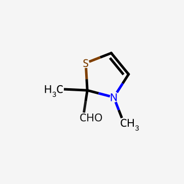 CN1C=CSC1(C)C=O